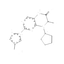 CCC1C(=O)Nc2cnc(-n3cc(C(=O)O)cn3)nc2N1C1CCCC1